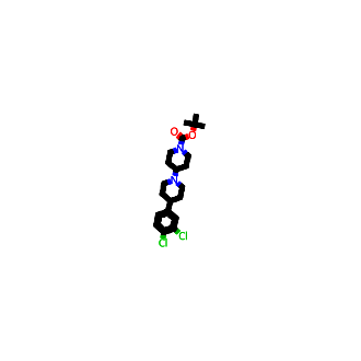 CC(C)(C)OC(=O)N1CCC(N2CCC(c3ccc(Cl)c(Cl)c3)CC2)CC1